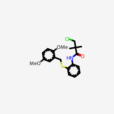 COc1ccc(OC)c(CSc2ccccc2NC(=O)C(C)(C)CCl)c1